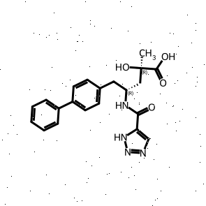 C[C@@](O)(C[C@@H](Cc1ccc(-c2ccccc2)cc1)NC(=O)c1cnn[nH]1)C(=O)O